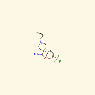 C=CCN1CCC(C(N)=O)(c2ccc(C(F)(F)F)cc2)CC1